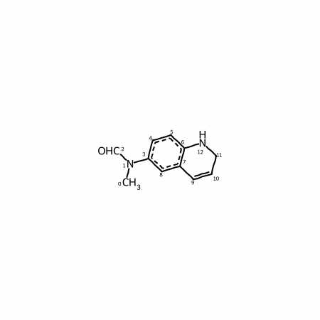 CN(C=O)c1ccc2c(c1)C=CCN2